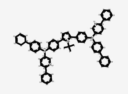 CC(C)(C)n1c(-c2ccc(N(c3ccc(-c4ccccc4)cc3)c3ccc(-c4ccccc4)nc3)cc2)ccc1-c1ccc(N(c2ccc(C3C=CC=CC3)cc2)c2ccc(-c3ccccc3)nc2)cc1